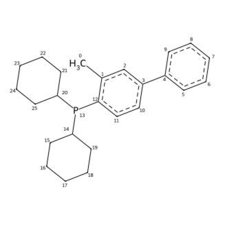 Cc1cc(-c2ccccc2)ccc1P(C1CCCCC1)C1CCCCC1